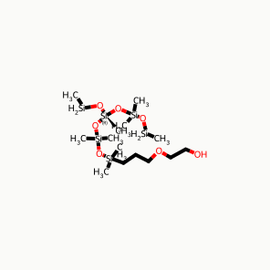 C[SiH2]O[Si](C)(C)O[Si@@](C)(O[SiH2]C)O[Si](C)(C)O[Si](C)(C)CCCOCCO